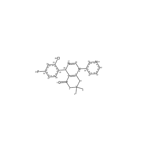 CC1(C)CC(=O)C2=C(C1)N(c1cccnc1)C=NC2c1ccc(F)cc1Cl